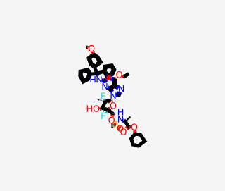 CCOc1nc(NC(c2ccccc2)(c2ccccc2)c2ccc(OC)cc2)nc2c1ncn2[C@@H]1O[C@](F)(CO[P@@](C)(=O)N[C@@H](C)C(=O)OC2CCCCC2)[C@@H](O)[C@@]1(C)F